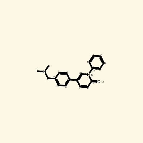 CN(C)Cc1ccc(-c2ccc(=O)n(-c3ccccc3)c2)cc1